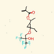 C=C(C)C(=O)OC(C)C1CC1(CC)OCC(O)(C(F)(F)F)C(F)(F)F